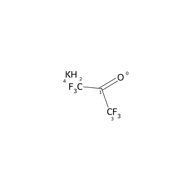 O=C(C(F)(F)F)C(F)(F)F.[KH]